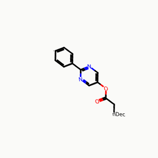 CCCCCCCCCCCC(=O)Oc1cnc(-c2cc[c]cc2)nc1